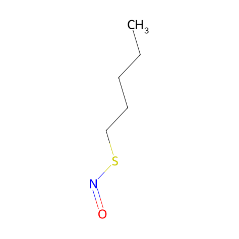 CCCCCSN=O